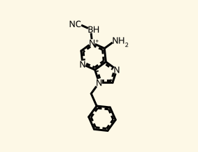 N#CB[n+]1cnc2c(ncn2Cc2ccccc2)c1N